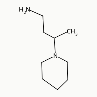 CC(CCN)N1CCCCC1